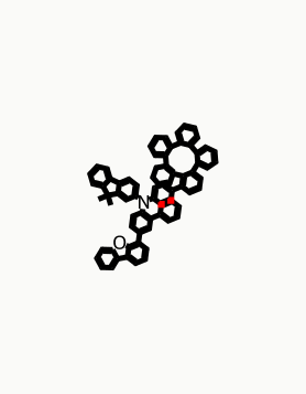 CC1(C)c2ccccc2-c2ccc(N(c3ccc(-c4cccc5c4c4c(c6ccccc6c6ccccc6c6ccccc56)CCC=C4)cc3)c3ccc(-c4cccc5c4oc4ccccc45)cc3-c3ccccc3)cc21